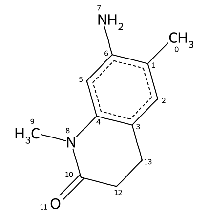 Cc1cc2c(cc1N)N(C)C(=O)CC2